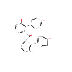 O=C(c1cccc(O)c1-c1ccc(O)cc1)c1cccc(O)c1-c1ccc(O)cc1